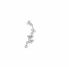 COC(=O)N1CCN(CCCc2ccc(-c3ccc(C(=O)NS(=O)(=O)c4ccc(NCCSc5ccccc5)c([N+](=O)[O-])c4)cc3)c(OC)c2)CC1